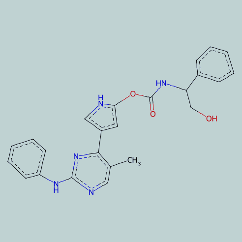 Cc1cnc(Nc2ccccc2)nc1-c1c[nH]c(OC(=O)NC(CO)c2ccccc2)c1